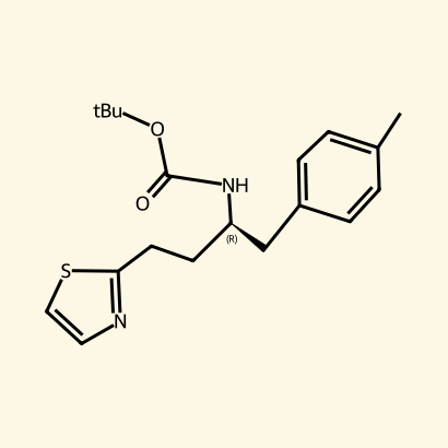 Cc1ccc(C[C@@H](CCc2nccs2)NC(=O)OC(C)(C)C)cc1